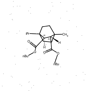 CCCCOC(=O)[C@@H]1[C@@H](C(=O)OCCCC)C2(C(C)C)CCC1(C)CC2